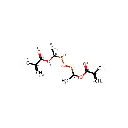 C=C(C)C(=O)OC(C)SOSC(C)OC(=O)C(=C)C